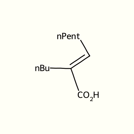 CCCCC/C=C(\CCCC)C(=O)O